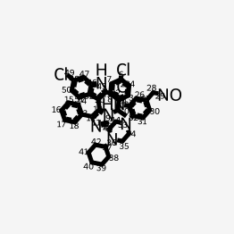 CC(c1ccc(Cl)cc1)n1cnc(-c2ccccc2)c1-c1c(C(=O)Nc2cc(CN=O)ccc2N2CCN(C3CCCCC3)CC2)[nH]c2cc(Cl)ccc12